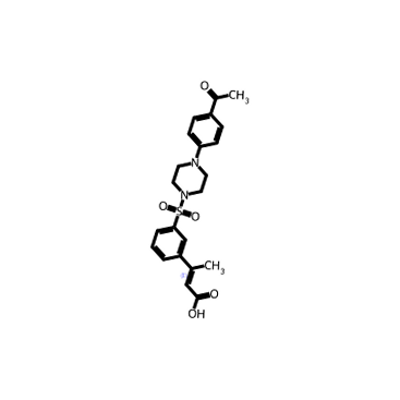 CC(=O)c1ccc(N2CCN(S(=O)(=O)c3cccc(/C(C)=C/C(=O)O)c3)CC2)cc1